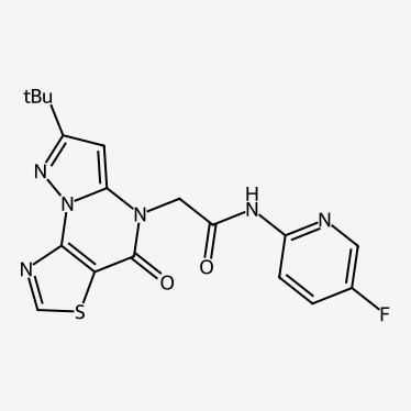 CC(C)(C)c1cc2n(CC(=O)Nc3ccc(F)cn3)c(=O)c3scnc3n2n1